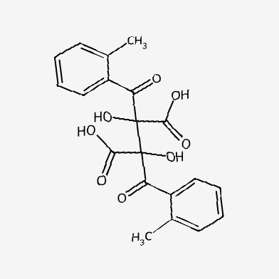 Cc1ccccc1C(=O)C(O)(C(=O)O)C(O)(C(=O)O)C(=O)c1ccccc1C